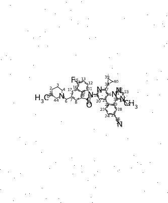 C[C@H]1CCCN(Cc2cc3c4c(ccc(F)c4c2)N(c2cc(-c4ccc(C#N)cc4-c4nncn4C)cc(C4CC4)n2)C3=O)C1